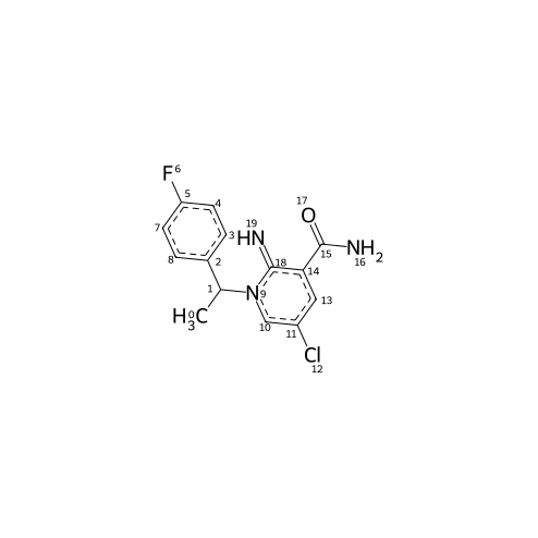 CC(c1ccc(F)cc1)n1cc(Cl)cc(C(N)=O)c1=N